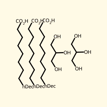 CCCCCCCCCCCCCCCCCC(=O)O.CCCCCCCCCCCCCCCCCC(=O)O.CCCCCCCCCCCCCCCCCC(=O)O.OCC(O)CO.OCC(O)CO